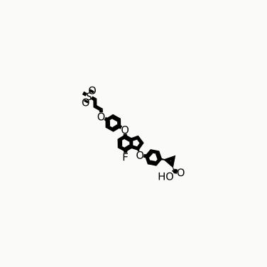 CS(=O)(=O)CCCOc1ccc(Oc2ccc(F)c3c2CC[C@H]3Oc2ccc([C@H]3C[C@@H]3C(=O)O)cc2)cc1